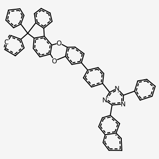 c1ccc(-c2nc(-c3ccc(-c4ccc5c(c4)Oc4ccc6c(c4O5)-c4ccccc4C6(c4ccccc4)c4ccccc4)cc3)nc(-c3ccc4ccccc4c3)n2)cc1